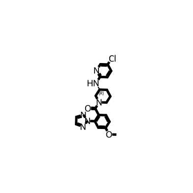 COc1ccc(C(=O)N2CCC[C@@H](Nc3ccc(Cl)cn3)C2)c(-n2nccn2)c1